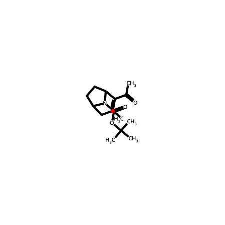 CC(=O)C1=C(C)CC2CCC1N2C(=O)OC(C)(C)C